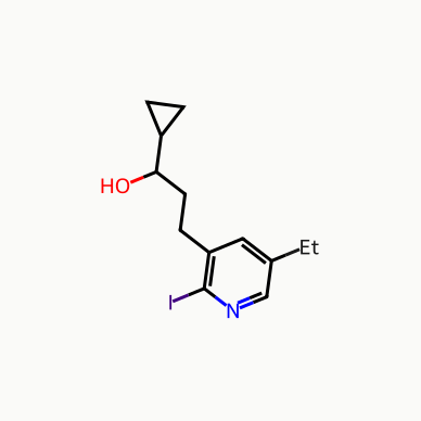 CCc1cnc(I)c(CCC(O)C2CC2)c1